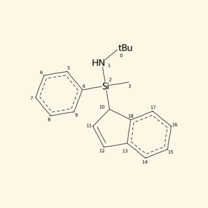 CC(C)(C)N[Si](C)(c1ccccc1)C1C=Cc2ccccc21